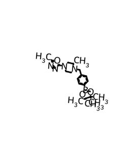 Cc1nnc(N2CCN(Cc3ccc(B4OC(C)(C)C(C)(C)O4)cc3)C(C)C2)o1